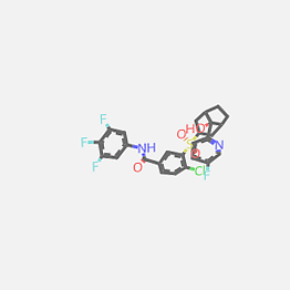 O=C(Nc1cc(F)c(F)c(F)c1)c1ccc(Cl)c(S(=O)(=O)C2CC3CCC(C2)C3(O)c2ccc(F)cn2)c1